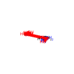 CN[C@@H](CCC(=O)NCCOCCOCCOCCOCCOCCOCCOCCOCCOCCOCCOCCOCCN(C[C@H](O)[C@@H](O)[C@H](O)[C@H](O)CO)C[C@H](O)[C@@H](O)[C@H](O)[C@H](O)CO)C(=O)N[C@H](C(=O)N[C@@H](CCCNC(N)=O)C(=O)Nc1ccc(CO)cc1)C(C)C